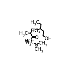 CC(C)C(=O)O.CCC(O)CCO.CN(C)C